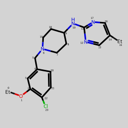 CCOc1cc(CN2CCC(Nc3ncc(CC)cn3)CC2)ccc1Cl